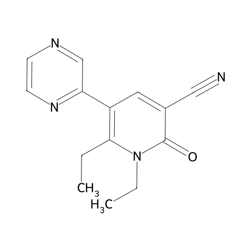 CCc1c(-c2cnccn2)cc(C#N)c(=O)n1CC